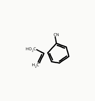 C=CC(=O)O.N#Cc1ccccc1